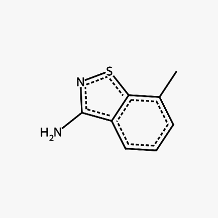 Cc1cccc2c(N)nsc12